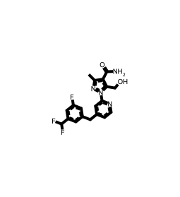 Cc1nn(-c2cc(Cc3cc(F)cc(C(F)F)c3)ccn2)c(CO)c1C(N)=O